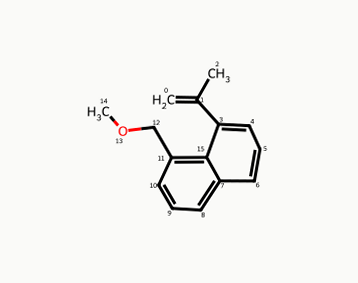 C=C(C)c1cccc2cccc(COC)c12